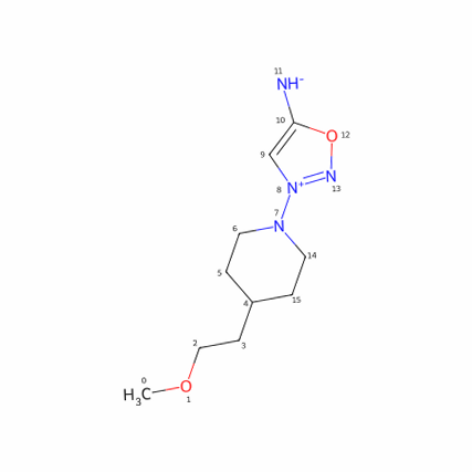 COCCC1CCN([n+]2cc([NH-])on2)CC1